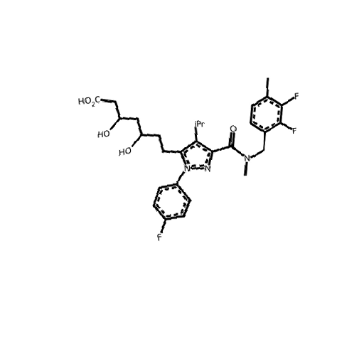 Cc1ccc(CN(C)C(=O)c2nn(-c3ccc(F)cc3)c(CCC(O)CC(O)CC(=O)O)c2C(C)C)c(F)c1F